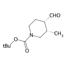 C[C@@H]1CN(C(=O)OC(C)(C)C)CC[C@@H]1C=O